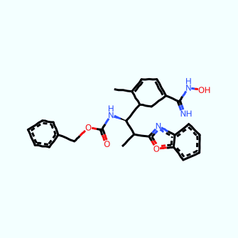 CC1=CC=C(C(=N)NO)CC1[C@H](NC(=O)OCc1ccccc1)C(C)c1nc2ccccc2o1